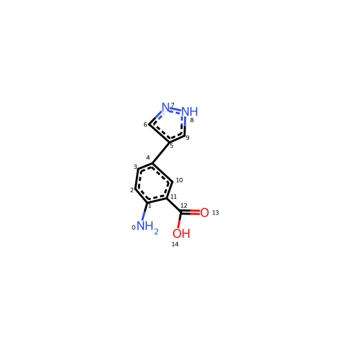 Nc1ccc(-c2cn[nH]c2)cc1C(=O)O